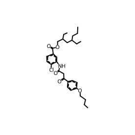 CCCCOc1ccc(C(=O)CC(=O)Nc2cc(C(=O)OCC(CC)CC(CC)CCC)ccc2Cl)cc1